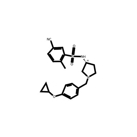 Cc1ccc(C#N)cc1S(=O)(=O)N[C@@H]1CCN(Cc2ccc(OC3CC3)cc2)C1